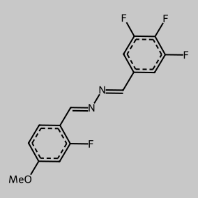 COc1ccc(/C=N/N=C/c2cc(F)c(F)c(F)c2)c(F)c1